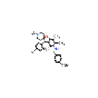 COc1ccc(CNc2c(C)c(C)c3c(c2C)C(c2ccc(C(C)C)cc2)C2(CCN(C)CC2)O3)cc1